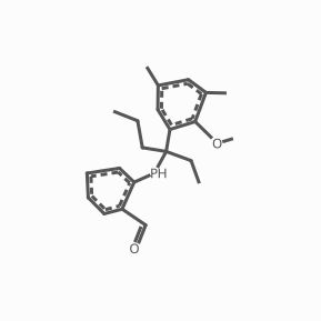 CCCC(CC)(Pc1ccccc1C=O)c1cc(C)cc(C)c1OC